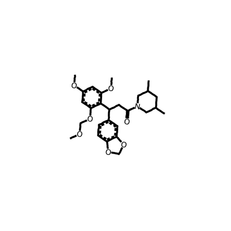 COCOc1cc(OC)cc(OC)c1C(CC(=O)N1CC(C)CC(C)C1)c1ccc2c(c1)OCO2